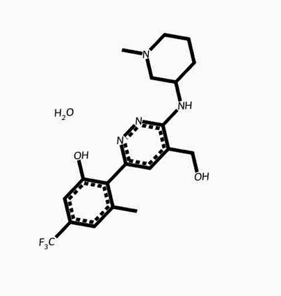 Cc1cc(C(F)(F)F)cc(O)c1-c1cc(CO)c(NC2CCCN(C)C2)nn1.O